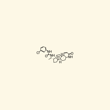 CC(NC(=O)Nc1cccc(Cl)c1)[C@H]1CC[C@H]2[C@@H]3CCC4NC(=O)C=C[C@]4(C)[C@H]3CC[C@]12C